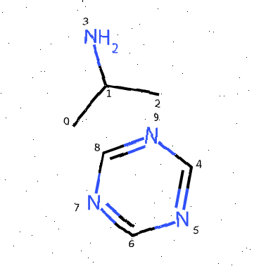 CC(C)N.c1ncncn1